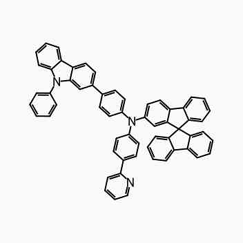 c1ccc(-n2c3ccccc3c3ccc(-c4ccc(N(c5ccc(-c6ccccn6)cc5)c5ccc6c(c5)C5(c7ccccc7-c7ccccc75)c5ccccc5-6)cc4)cc32)cc1